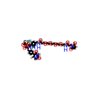 Cc1c(-c2ccc(C[C@H](NC(=O)c3c(F)cc(CNC(=O)CCOCCOCCOCCOCCNC(=O)CCN4C(=O)C=CC4=O)cc3F)C(=O)OC(=O)C(F)(F)F)cc2)c(=O)n(C)c(=O)n1C